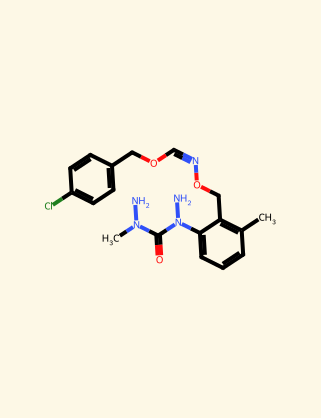 Cc1cccc(N(N)C(=O)N(C)N)c1CO/N=C\OCc1ccc(Cl)cc1